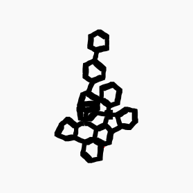 c1ccc(-c2ccc(-c3ccc(N(c4ccccc4-c4ccccc4)c4cccc5c4[Si](c4ccccc4)(c4ccccc4)c4ccccc4-5)cc3)cc2)cc1